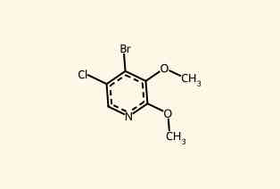 COc1ncc(Cl)c(Br)c1OC